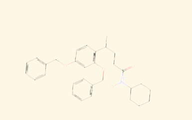 CC(CCC(=O)[NH+]([O-])C1CCCCC1)c1ccc(OCc2ccccc2)cc1OCc1ccccc1